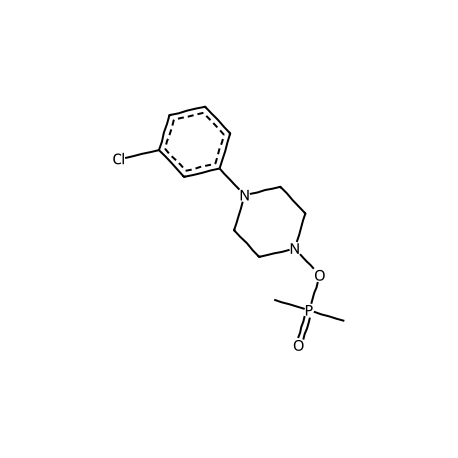 CP(C)(=O)ON1CCN(c2cccc(Cl)c2)CC1